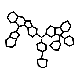 C1CCC(C2CCC(N(C3CCC4C(CC5CC6CCCCC6C(C6CC7CCCCC7C6)C54)C3)C3CCC4C5CCCCC5C(C5CCCCC5)(C5CCCCC5)C4C3)CC2)CC1